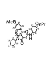 CCCOc1ccc(NC(=O)CC2C(=O)N(C3CCCCC3)C(=S)N2Cc2ccc(OC)cc2)cc1